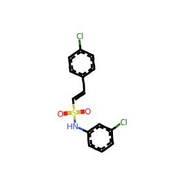 O=S(=O)(C=Cc1ccc(Cl)cc1)Nc1cccc(Cl)c1